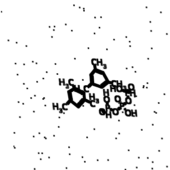 Cc1cc(C)cc(C)c1.Cc1cc(C)cc(C)c1.O=[PH](O)OP(=O)(O)O[PH](=O)O